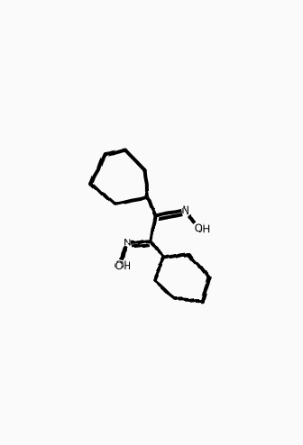 ON=C(C(=NO)C1CCCCC1)C1CCCCC1